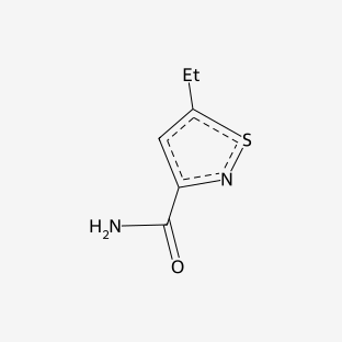 CCc1cc(C(N)=O)ns1